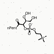 CCCCCC(=O)C(OP(=O)([O-])OCC[N+](C)(C)C)[C@H](CO)OO